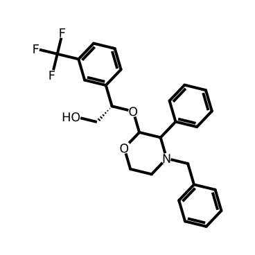 OC[C@@H](OC1OCCN(Cc2ccccc2)C1c1ccccc1)c1cccc(C(F)(F)F)c1